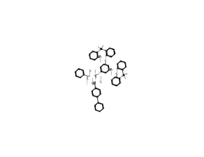 CC1(C)c2ccccc2N(c2cc(-c3nc(-c4ccccc4)nc(-c4ccc(-c5ccccc5)cc4)n3)cc(N3c4ccccc4C(C)(C)c4ccccc43)c2)c2ccccc21